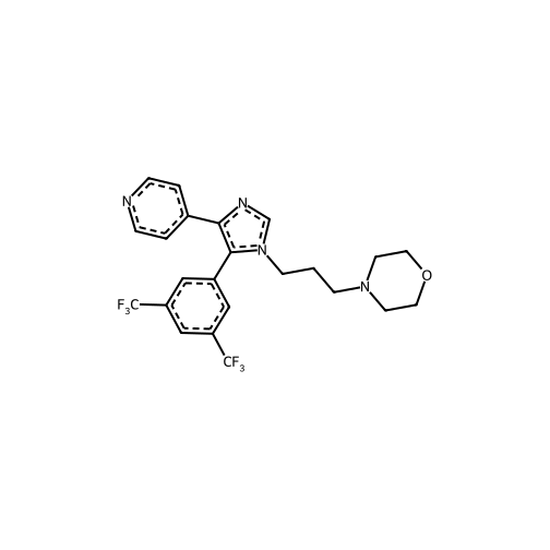 FC(F)(F)c1cc(-c2c(-c3ccncc3)ncn2CCCN2CCOCC2)cc(C(F)(F)F)c1